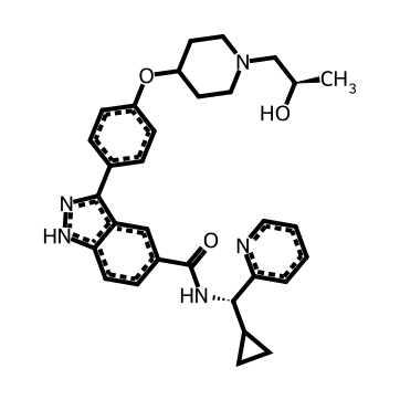 C[C@@H](O)CN1CCC(Oc2ccc(-c3n[nH]c4ccc(C(=O)N[C@H](c5ccccn5)C5CC5)cc34)cc2)CC1